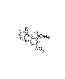 COC(=O)c1cc([N+](=O)[O-])ccc1Oc1c(F)cccc1F